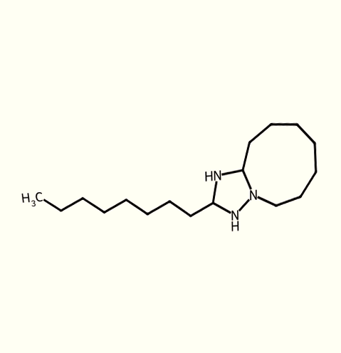 CCCCCCCCC1NC2CCCCCCCN2N1